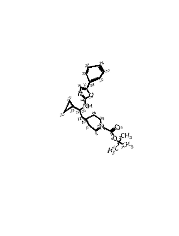 CC(C)(C)OC(=O)N1CCC(C[C@H](Nc2ncc(-c3ccccc3)o2)C2CC2)CC1